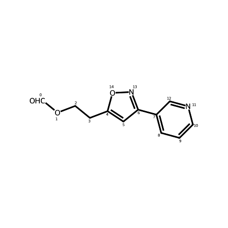 O=COCCc1cc(-c2cccnc2)no1